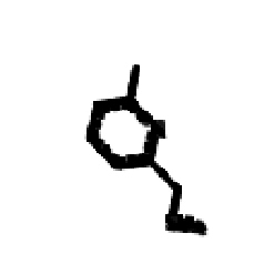 CSCc1cccc(C)n1